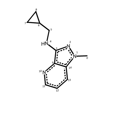 Cn1nc(NCC2CC2)c2ncccc21